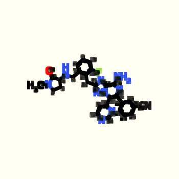 CN1CCC(NCc2cccc(F)c2Cc2nc3c(N)nc(-c4cccc(C#N)c4)c(-c4ccncn4)n3n2)C1=O